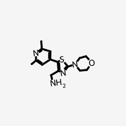 Cc1cc(-c2sc(N3CCOCC3)nc2CN)cc(C)n1